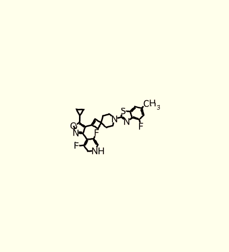 Cc1cc(F)c2nc(N3CCC4(C=C(c5c(C6=C(F)CNC=C6F)noc5C5CC5)C4)CC3)sc2c1